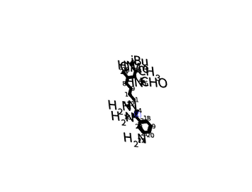 CCC(C)NC(C)C(NC=O)C(CCCCN(N)/C=C(\N)c1cccc(N)c1)COC